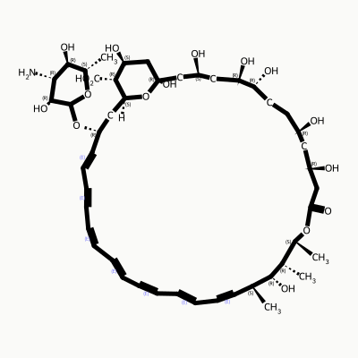 C[C@@H]1[C@H](O)[C@@H](C)/C=C/C=C/C=C/C=C/C=C/C=C/C=C/[C@H](OC2O[C@@H](C)[C@H](O)[C@@H](N)[C@H]2O)C[C@@H]2O[C@](O)(C[C@@H](O)C[C@@H](O)[C@H](O)CC[C@@H](O)C[C@@H](O)CC(=O)O[C@H]1C)C[C@H](O)[C@H]2C(=O)O